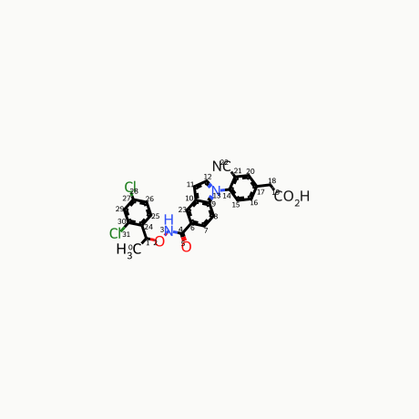 CC(ONC(=O)c1ccc2c(ccn2-c2ccc(CC(=O)O)cc2C#N)c1)c1ccc(Cl)cc1Cl